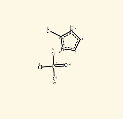 Clc1ncc[nH]1.O=P(Cl)(Cl)Cl